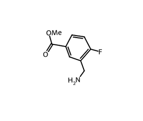 COC(=O)c1ccc(F)c(CN)c1